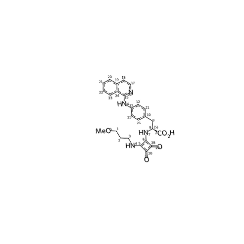 COCCCNc1c(N[C@@H](Cc2ccc(Nc3nccc4ccccc34)cc2)C(=O)O)c(=O)c1=O